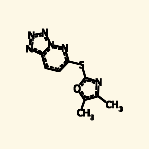 Cc1nc(Sc2ccc3nnnn3n2)oc1C